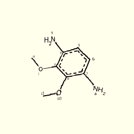 COc1c(N)ccc(N)c1OC